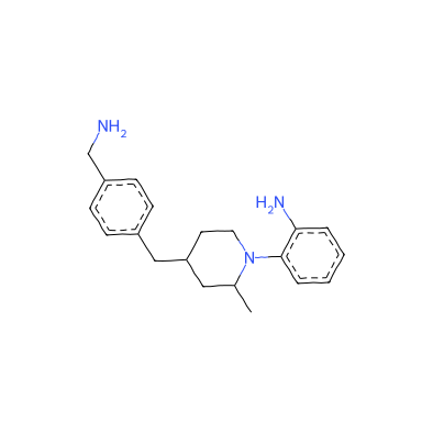 CC1CC(Cc2ccc(CN)cc2)CCN1c1ccccc1N